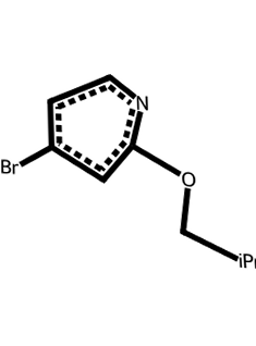 CC(C)COc1cc(Br)ccn1